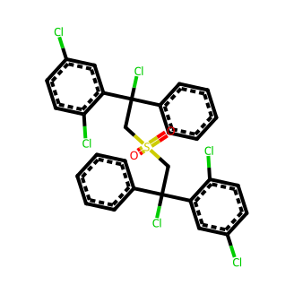 O=S(=O)(CC(Cl)(c1ccccc1)c1cc(Cl)ccc1Cl)CC(Cl)(c1ccccc1)c1cc(Cl)ccc1Cl